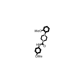 COc1ccc(NC(=O)N2CCN(c3ccccc3OC)CC2)cc1